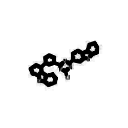 Clc1nc(-c2cccc(-c3cccc4oc5ccccc5c34)c2)nc(-c2ccc3c(c2)sc2ccccc23)n1